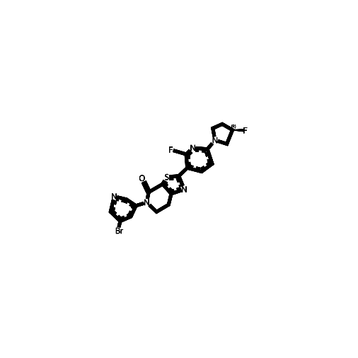 O=C1c2sc(-c3ccc(N4CC[C@@H](F)C4)nc3F)nc2CCN1c1cncc(Br)c1